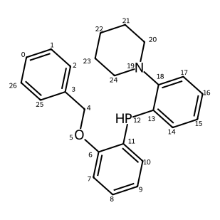 c1ccc(COc2ccccc2Pc2ccccc2N2CCCCC2)cc1